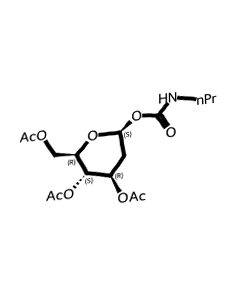 CCCNC(=O)O[C@H]1C[C@@H](OC(C)=O)[C@H](OC(C)=O)[C@@H](COC(C)=O)O1